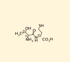 C[C@@H](O)[C@H](N)C(=O)N[C@H](CCS)C(=O)O